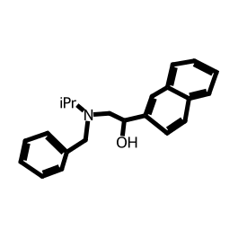 CC(C)N(Cc1ccccc1)CC(O)c1ccc2ccccc2c1